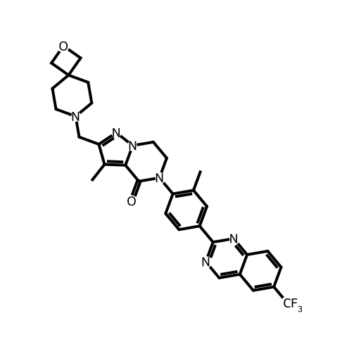 Cc1cc(-c2ncc3cc(C(F)(F)F)ccc3n2)ccc1N1CCn2nc(CN3CCC4(CC3)COC4)c(C)c2C1=O